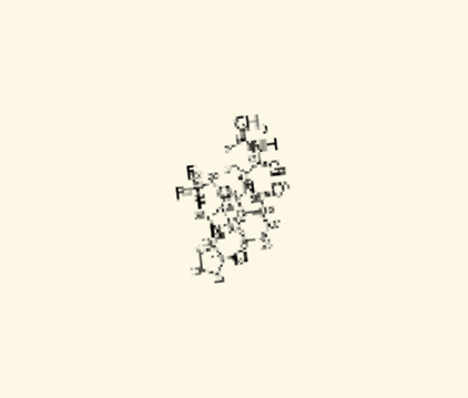 C=C1CCC(N2Cc3cc(O[C@H]4CCC[C@@H]4N4CC(OCC(F)(F)F)C4)ccc3C2=O)C(=O)N1